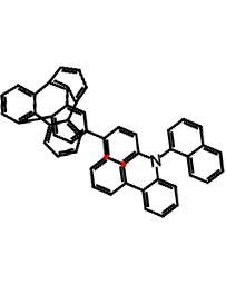 c1ccc(-c2ccccc2N(c2ccc(-c3ccc4c(c3)-c3c5cccc3-c3cccc-4c3-c3ccccc3-5)cc2)c2cccc3ccccc23)cc1